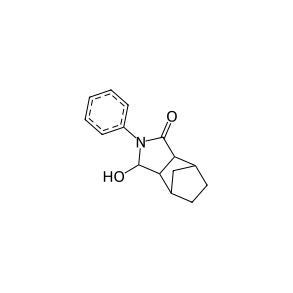 O=C1C2C3CCC(C3)C2C(O)N1c1ccccc1